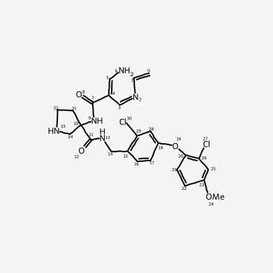 C=C/N=C\C(=C/N)C(=O)NC1(C(=O)NCc2ccc(Oc3ccc(OC)cc3Cl)cc2Cl)CCNC1